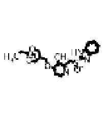 CCC12OCC(COc3ccnc(C[S+]([O-])c4nc5ccccc5[nH]4)c3C)(CO1)CO2